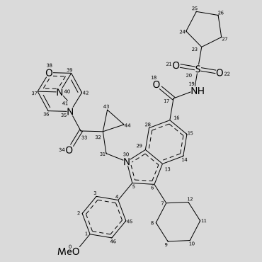 COc1ccc(-c2c(C3CCCCC3)c3ccc(C(=O)NS(=O)(=O)C4CCCC4)cc3n2CC2(C(=O)N3C=c4oc(n4C)=C3)CC2)cc1